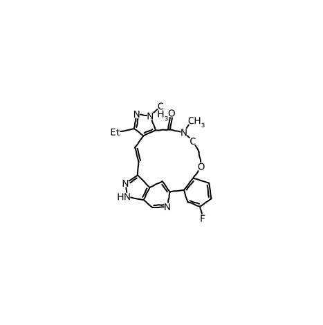 CCc1nn(C)c2c1/C=C/c1n[nH]c3cnc(cc13)-c1cc(F)ccc1OCCN(C)C2=O